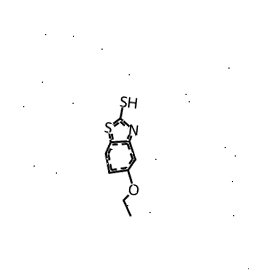 CCOc1ccc2sc(S)nc2c1